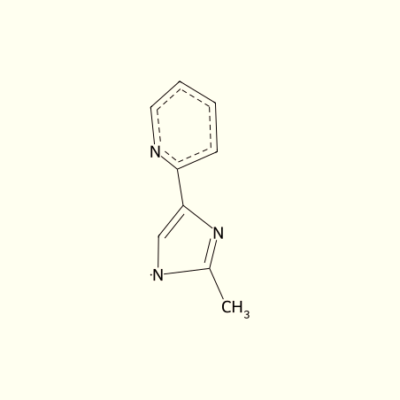 CC1=NC(c2ccccn2)=C[N]1